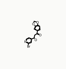 O=C(CC(=O)c1ccc2c(c1)OCO2)c1ccnc(Br)c1